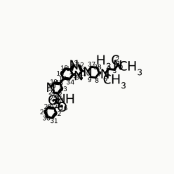 CN(C)CCN(C)C1CCN(c2cnc3ccc(-c4cncc(NS(=O)(=O)c5ccccc5)c4)cc3n2)CC1